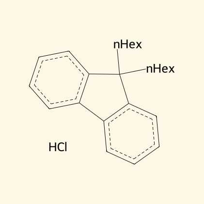 CCCCCCC1(CCCCCC)c2ccccc2-c2ccccc21.Cl